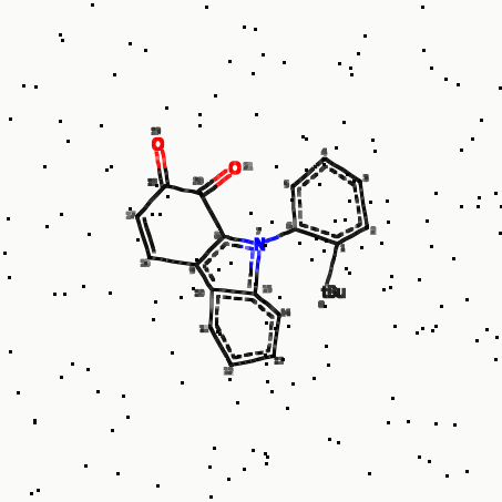 CC(C)(C)c1ccccc1-n1c2c(c3ccccc31)C=CC(=O)C2=O